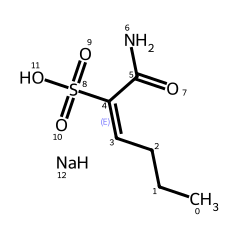 CCC/C=C(\C(N)=O)S(=O)(=O)O.[NaH]